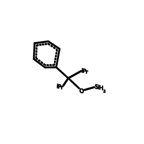 CC(C)C(O[SiH3])(c1ccccc1)C(C)C